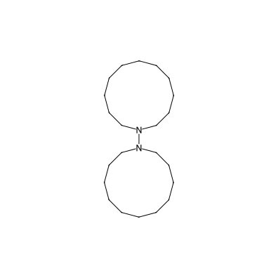 C1CCCCCN(N2CCCCCCCCCCC2)CCCCC1